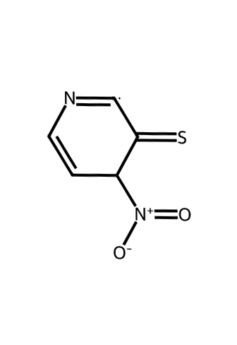 O=[N+]([O-])C1C=CN=[C]C1=S